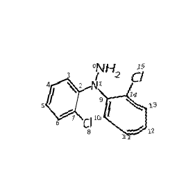 NN(c1ccccc1Cl)c1ccccc1Cl